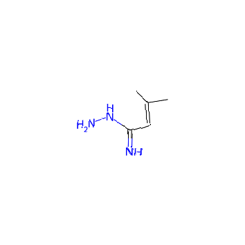 CC(C)=CC(=N)NN